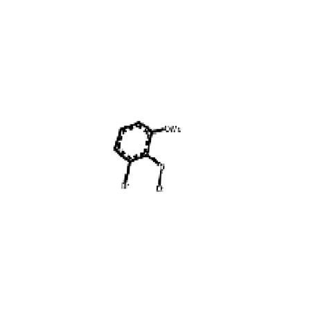 CCOc1c(Br)cccc1OC